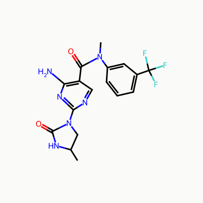 CC1CN(c2ncc(C(=O)N(C)c3cccc(C(F)(F)F)c3)c(N)n2)C(=O)N1